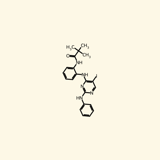 CC(C)(C)C(=O)Nc1ccccc1Nc1nc(Nc2ccccc2)ncc1I